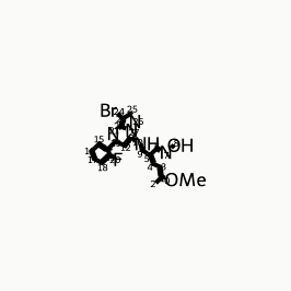 CO/C(C)=C/C=C(\C=N\O)CNc1cc(-c2ccccc2F)nc2c(Br)cnn12